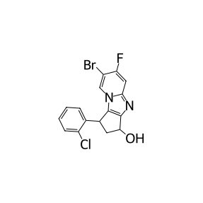 OC1CC(c2ccccc2Cl)c2c1nc1cc(F)c(Br)cn21